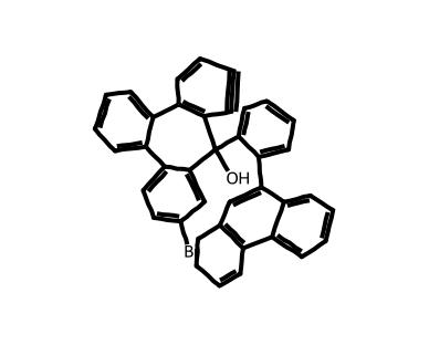 OC1(c2ccccc2-c2cc3c(c4ccccc24)C=CCC3)c2c#cccc2-c2ccccc2-c2ccc(Br)cc21